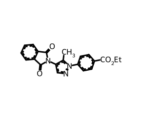 CCOC(=O)c1ccc(-n2ncc(N3C(=O)c4ccccc4C3=O)c2C)cc1